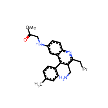 COC(=O)CNc1ccc2nc(CC(C)C)c(CN)c(-c3ccc(C)cc3)c2c1